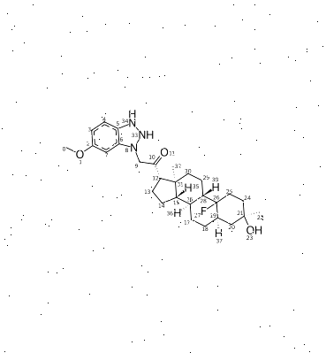 COc1ccc2c(c1)N(CC(=O)[C@H]1CC[C@H]3[C@@H]4CC[C@@H]5C[C@](C)(O)CCC5(F)[C@H]4CC[C@]13C)NN2